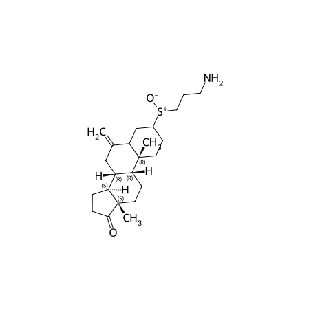 C=C1C[C@@H]2[C@@H](CC[C@]3(C)C(=O)CC[C@@H]23)[C@@]2(C)CCC([S+]([O-])CCCN)CC12